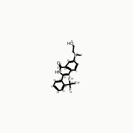 CN(CCO)c1ccc2cc(-c3ccccc3C(F)(F)F)[nH]c(=O)c2c1